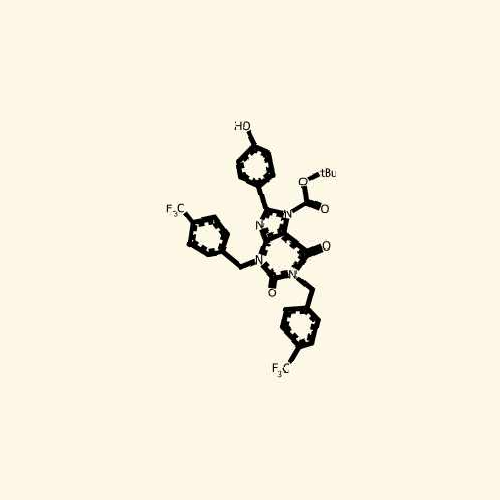 CC(C)(C)OC(=O)n1c(-c2ccc(O)cc2)nc2c1c(=O)n(Cc1ccc(C(F)(F)F)cc1)c(=O)n2Cc1ccc(C(F)(F)F)cc1